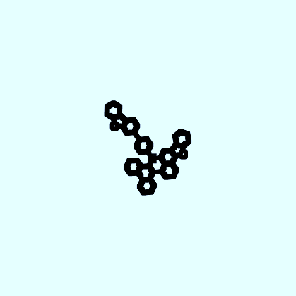 c1ccc(-c2c(N(c3ccc(-c4ccc5c(c4)oc4ccccc45)cc3)c3ccc4oc5ccccc5c4c3)c3ccccc3c3ccccc23)cc1